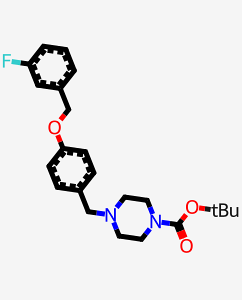 CC(C)(C)OC(=O)N1CCN(Cc2ccc(OCc3cccc(F)c3)cc2)CC1